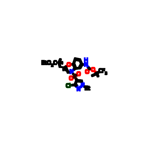 CCOC(=O)[C@@H](C)C[C@H]1CN(S(=O)(=O)c2cn(CC)nc2Cl)c2cc(NC(=O)OC(C)(C)C(F)(F)F)ccc2O1